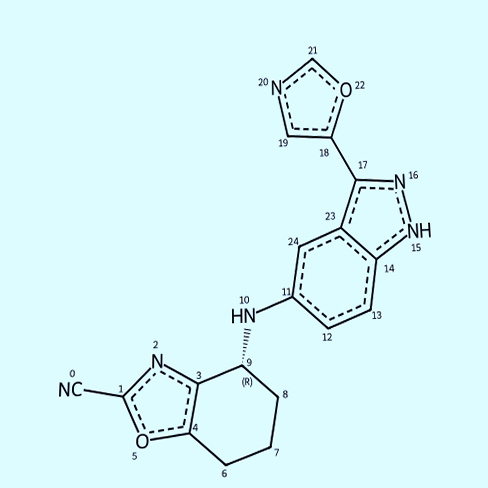 N#Cc1nc2c(o1)CCC[C@H]2Nc1ccc2[nH]nc(-c3cnco3)c2c1